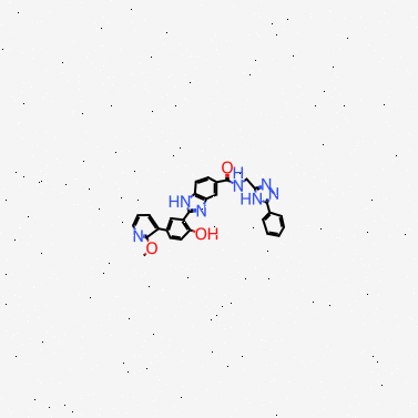 COc1ncccc1-c1ccc(O)c(-c2nc3cc(C(=O)NCc4nnc(-c5ccccc5)[nH]4)ccc3[nH]2)c1